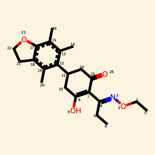 CCON=C(CC)C1=C(O)CC(c2c(C)c(C)c3c(c2C)CCO3)CC1=O